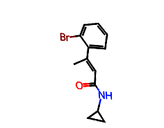 CC(=CC(=O)NC1CC1)c1ccccc1Br